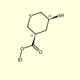 CCOC(=O)[C@H]1CSC[C@@H](S)C1